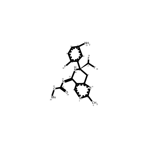 Cc1ncc2c(n1)C[C@](c1cc(N)ccc1F)(C(F)F)N/C2=N/C(=O)OC(C)(C)C